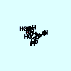 Cc1c(C(=O)OC(C)C)cc2cc(-c3ccncc3)cn2c1C(C)c1cc(O)c2c3c1C[C@@H]1[C@@H]4C=C[C@H](O)[C@H](O2)[C@]34CCN1C